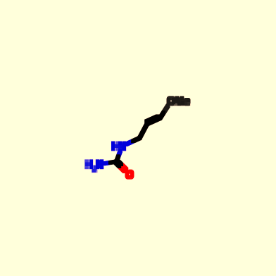 COC=CCNC(N)=O